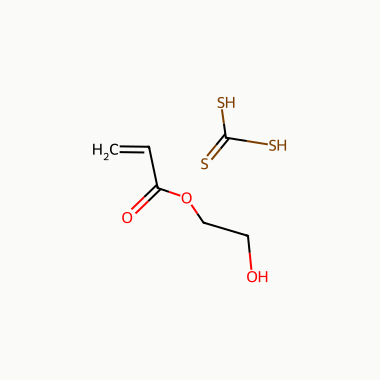 C=CC(=O)OCCO.S=C(S)S